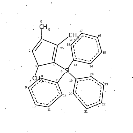 CC1=CC(C)C([Si](c2ccccc2)(c2ccccc2)c2ccccc2)=C1C